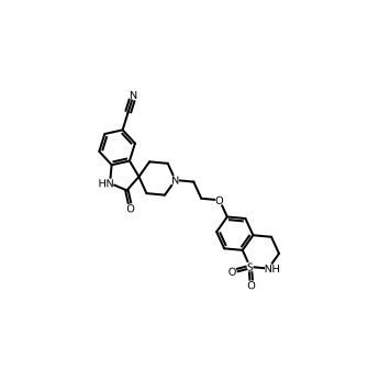 N#Cc1ccc2c(c1)C1(CCN(CCOc3ccc4c(c3)CCNS4(=O)=O)CC1)C(=O)N2